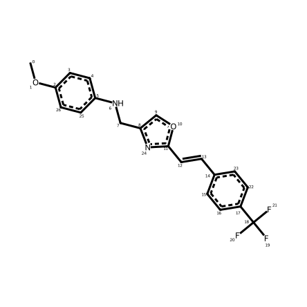 COc1ccc(NCc2coc(/C=C/c3ccc(C(F)(F)F)cc3)n2)cc1